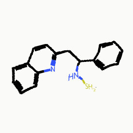 [SH2]NC(Cc1ccc2ccccc2n1)c1ccccc1